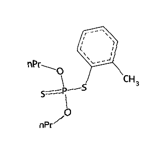 CCCOP(=S)(OCCC)Sc1ccccc1C